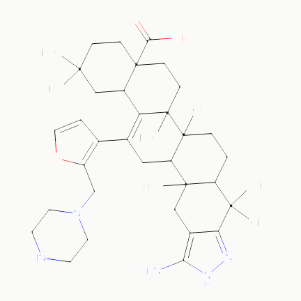 CC1(C)CCC2(C(=O)O)CCC3(C)C(=C(c4ccoc4CN4CCNCC4)CC4C5(C)Cc6c(n[nH]c6N)C(C)(C)C5CCC43C)C2C1